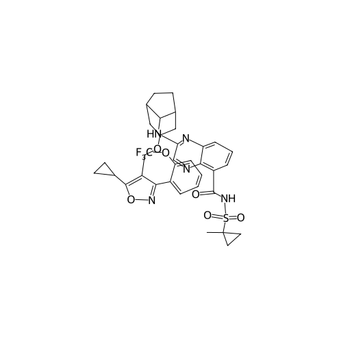 CC1(S(=O)(=O)NC(=O)c2cccc3nc(NC4C5CCC4CC(OCc4c(-c6ccccc6OC(F)(F)F)noc4C4CC4)C5)cnc23)CC1